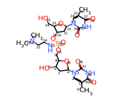 Cc1cn([C@H]2C[C@@H](O)C(CO[P@@](=O)(NCCN(C)C)O[C@@H]3C[C@H](n4cc(C)c(=O)[nH]c4=O)OC3CO)O2)c(=O)[nH]c1=O